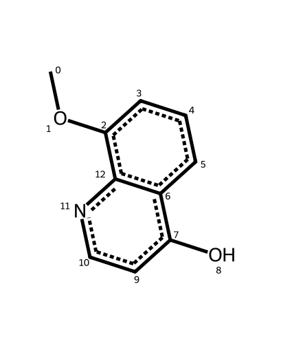 COc1cccc2c(O)ccnc12